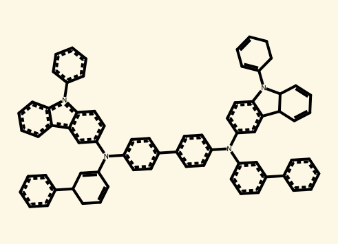 C1=CCCC(N2c3ccc(N(c4ccc(-c5ccc(N(C6=CC(c7ccccc7)CC=C6)c6ccc7c(c6)c6ccccc6n7-c6ccccc6)cc5)cc4)c4cccc(-c5ccccc5)c4)cc3C3C=CC=CC32)=C1